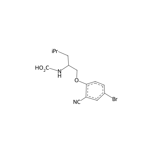 CC(C)CC(COc1ccc(Br)cc1C#N)NC(=O)O